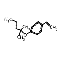 C=Cc1ccc(OC(C)(C)CCC)cc1